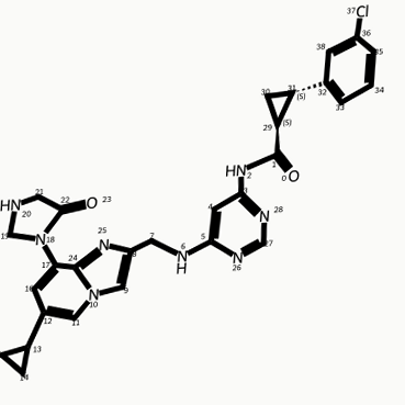 O=C(Nc1cc(NCc2cn3cc(C4CC4)cc(N4CNCC4=O)c3n2)ncn1)[C@H]1C[C@@H]1c1cccc(Cl)c1